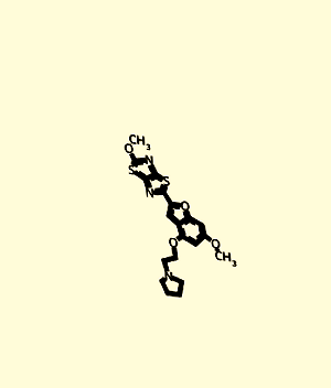 COc1cc(OCCN2CCCC2)c2cc(-c3nc4sc(OC)nc4s3)oc2c1